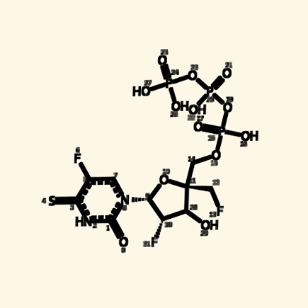 O=c1[nH]c(=S)c(F)cn1[C@@H]1O[C@](CF)(COP(=O)(O)OP(=O)(O)OP(=O)(O)O)C(O)[C@@H]1F